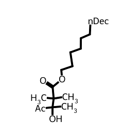 CCCCCCCCCCCCCCCCOC(=O)C(C)(C)C(C)(O)C(C)=O